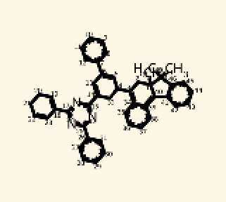 CC12CC(C3C=C(c4ccccc4)C=C(c4nc(C5=CCCC=C5)nc(-c5ccccc5)n4)C3)=c3ccccc3=C1c1ccccc1C2(C)C